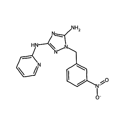 Nc1nc(Nc2ccccn2)nn1Cc1cccc([N+](=O)[O-])c1